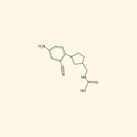 N#Cc1cc(N)ccc1N1CCC(CNC(=O)O)C1